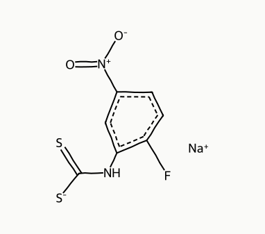 O=[N+]([O-])c1ccc(F)c(NC(=S)[S-])c1.[Na+]